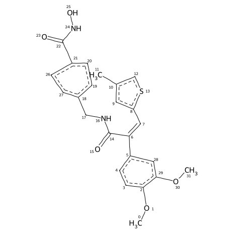 COc1ccc(C(=Cc2cc(C)cs2)C(=O)NCc2ccc(C(=O)NO)cc2)cc1OC